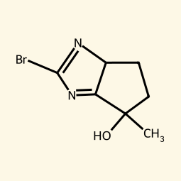 CC1(O)CCC2N=C(Br)N=C21